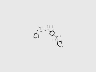 NC(CNS(=O)(=O)Cc1ccccc1)c1ccc(C(=O)Nc2ccncc2)cc1